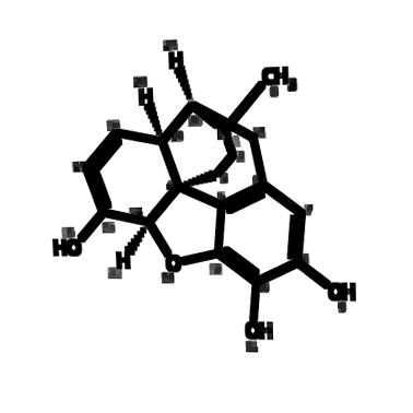 CN1CC[C@]23c4c5cc(O)c(O)c4O[C@H]2C(O)=C=C[C@H]3[C@H]1C5